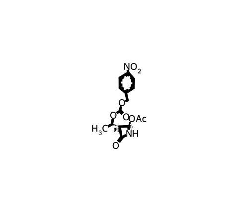 CC(=O)O[C@H]1NC(=O)[C@@H]1C(C)OC(=O)OCc1ccc([N+](=O)[O-])cc1